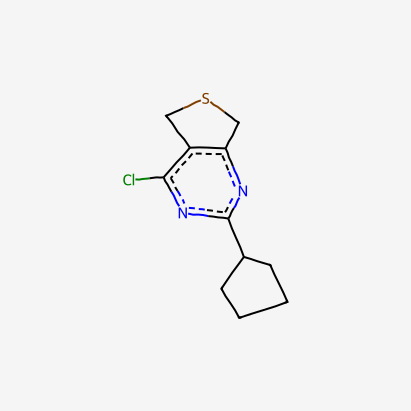 Clc1nc(C2CCCC2)nc2c1CSC2